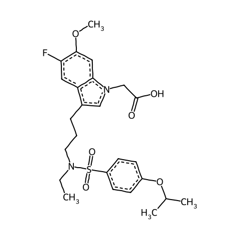 CCN(CCCc1cn(CC(=O)O)c2cc(OC)c(F)cc12)S(=O)(=O)c1ccc(OC(C)C)cc1